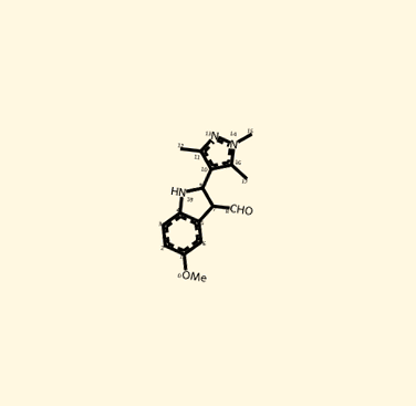 COc1ccc2c(c1)C(C=O)C(c1c(C)nn(C)c1C)N2